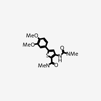 CNC(=O)Nc1cc(-c2ccc(OC)c(OC)c2)sc1C(=O)NC